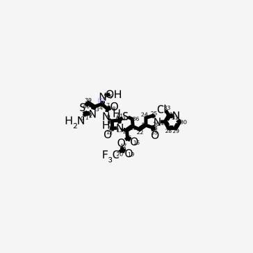 Nc1nc(/C(=N/O)C(=O)N[C@@H]2C(=O)N3C(C(=O)OC(=O)C(F)(F)F)=C(C=C4CCN(c5cccnc5Cl)C4=O)CS[C@H]23)cs1